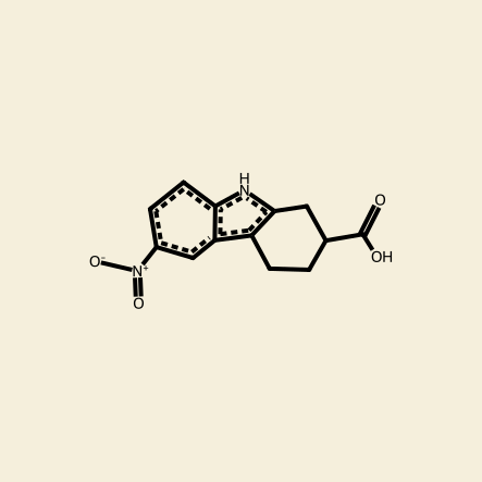 O=C(O)C1CCc2c([nH]c3ccc([N+](=O)[O-])cc23)C1